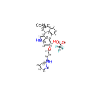 Cc1ccccc1C(CC(=O)O)c1c[nH]c2cc(OCCCNc3ccccn3)ccc12.O=C(O)C(F)(F)F